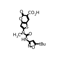 CN(C(=O)Nc1cc(C(C)(C)C)on1)c1cc2oc(=O)c(C(=O)O)cc2s1